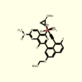 COCOc1cc(-c2nc(N(C)[C@@H]3C[C@H]3OC)c3cnc([S+](C)[O-])nc3c2F)c2c(C#C[Si](C(C)C)(C(C)C)C(C)C)c(F)ccc2c1